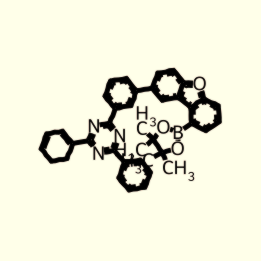 CC1(C)OB(c2cccc3oc4ccc(-c5cccc(-c6nc(C7=CC=CCC7)nc(-c7ccccc7)n6)c5)cc4c23)OC1(C)C